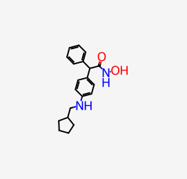 O=C(NO)C(c1ccccc1)c1ccc(NCC2CCCC2)cc1